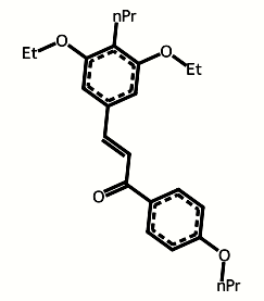 CCCOc1ccc(C(=O)C=Cc2cc(OCC)c(CCC)c(OCC)c2)cc1